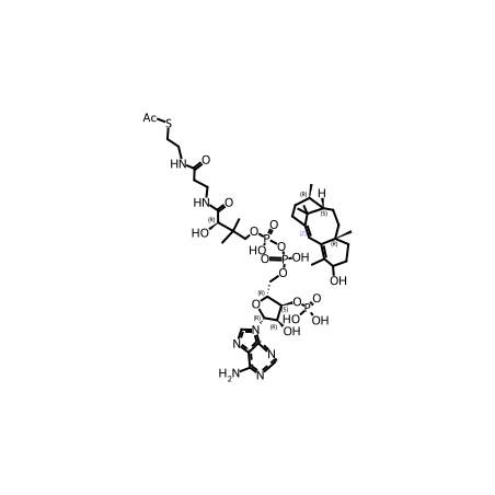 CC(=O)SCCNC(=O)CCNC(=O)[C@H](O)C(C)(C)COP(=O)(O)OP(=O)(O)OC[C@H]1O[C@@H](n2cnc3c(N)ncnc32)[C@H](O)[C@@H]1OP(=O)(O)O.CC1=C2/C=C3/CC[C@@H](C)[C@H](CC[C@]2(C)CCC1O)C3(C)C